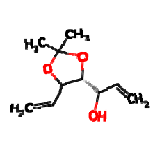 C=CC(O)[C@H]1OC(C)(C)OC1C=C